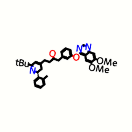 COc1cc2ncnc(Oc3cccc(CC(=O)CCC4=CC(C(C)(C)C)=N[C@H](c5ccccc5C)C4)c3)c2cc1OC